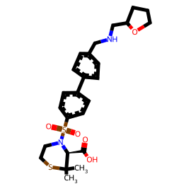 CC1(C)SCCN(S(=O)(=O)c2ccc(-c3ccc(CNCC4CCCO4)cc3)cc2)[C@H]1C(=O)O